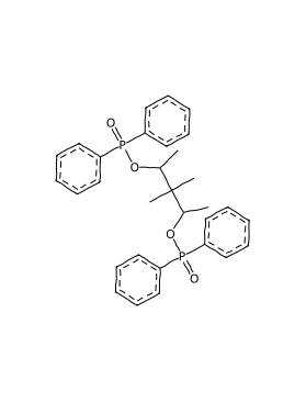 CC(OP(=O)(c1ccccc1)c1ccccc1)C(C)(C)C(C)OP(=O)(c1ccccc1)c1ccccc1